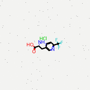 Cl.N[C@H](Cc1ccc(C(F)(F)F)nc1)C(=O)O